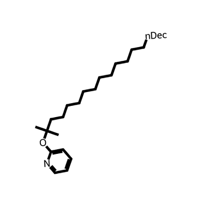 CCCCCCCCCCCCCCCCCCCCCCC(C)(C)Oc1ccccn1